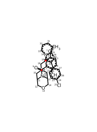 COc1ccc(C)c(C(=O)N2C3COCC2CN(Cc2c(-c4ccc(Cl)cc4)nc4ccccn24)C3)n1